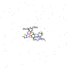 COc1ccc(CN(c2nccs2)S(=O)(=O)c2cc(Cl)c(N[C@H]3CCC(F)(F)C[C@@H]3N(C)C)cc2F)c(OC)c1